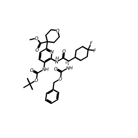 COC(=O)C1(c2ccc(NC(=O)OC(C)(C)C)c(NC(=O)[C@@H](NC(=O)OCc3ccccc3)C3CCC(F)(F)CC3)n2)CCOCC1